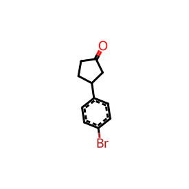 O=C1CCC(c2ccc(Br)cc2)C1